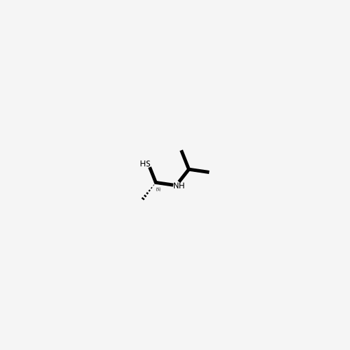 CC(C)N[C@H](C)S